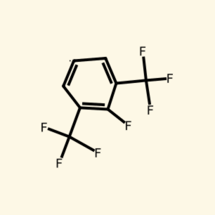 Fc1c(C(F)(F)F)c[c]cc1C(F)(F)F